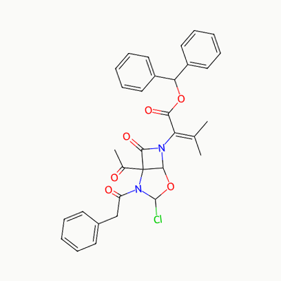 CC(=O)C12C(=O)N(C(C(=O)OC(c3ccccc3)c3ccccc3)=C(C)C)C1OC(Cl)N2C(=O)Cc1ccccc1